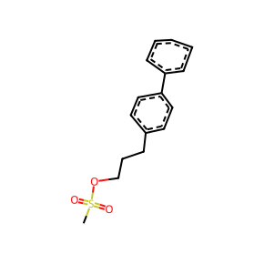 CS(=O)(=O)OCCCc1ccc(-c2ccccc2)cc1